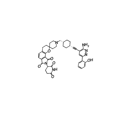 Nc1nnc(-c2ccccc2O)cc1C#C[C@H]1CC[C@@H](CN2CCC3(CCc4ccc5c(c4O3)C(=O)N(C3CCC(=O)NC3=O)C5=O)CC2)CC1